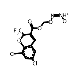 O=C(OCO/N=[NH+]\[O-])C1=Cc2cc(Cl)cc(Cl)c2OC1C(F)(F)F